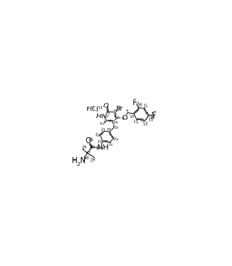 Cc1[nH]c(=O)c(Br)c(OCc2ccc(F)cc2F)c1Cc1ccc(NC(=O)C(C)(C)N)cc1.Cl